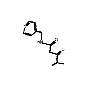 CC(C)C(=O)CC(=O)NCc1ccncc1